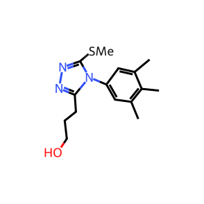 CSc1nnc(CCCO)n1-c1cc(C)c(C)c(C)c1